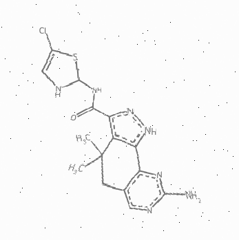 CC1(C)Cc2cnc(N)nc2-c2[nH]nc(C(=O)NC3NC=C(Cl)S3)c21